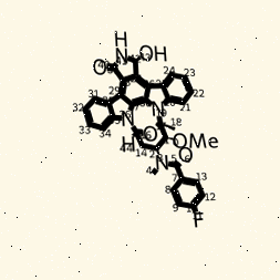 CO[C@@H]1[C@H](N(C)C(=O)c2ccc(F)cc2)C[C@H]2O[C@]1(C)n1c3ccccc3c3c4c(c5c6ccccc6n2c5c31)C(=O)N[C@H]4O